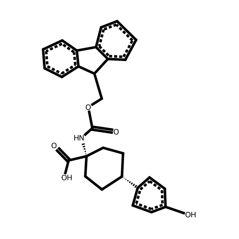 O=C(N[C@]1(C(=O)O)CC[C@H](c2ccc(O)cc2)CC1)OCC1c2ccccc2-c2ccccc21